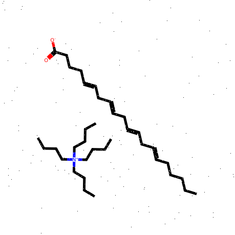 CCCCCC=CCC=CCC=CCC=CCCCC(=O)[O-].CCCC[N+](CCCC)(CCCC)CCCC